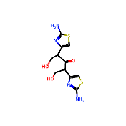 Nc1nc(C(CO)C(=O)C(CO)c2csc(N)n2)cs1